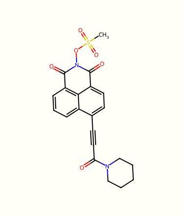 CS(=O)(=O)ON1C(=O)c2cccc3c(C#CC(=O)N4CCCCC4)ccc(c23)C1=O